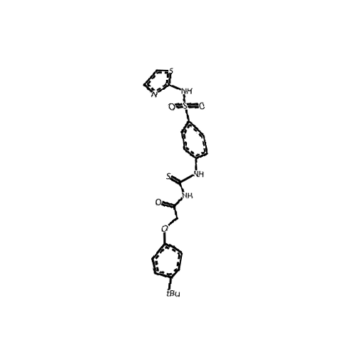 CC(C)(C)c1ccc(OCC(=O)NC(=S)Nc2ccc(S(=O)(=O)Nc3nccs3)cc2)cc1